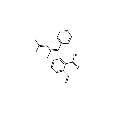 C=Cc1ccccc1C(=O)O.CC(C)=CC(C)=Cc1ccccc1